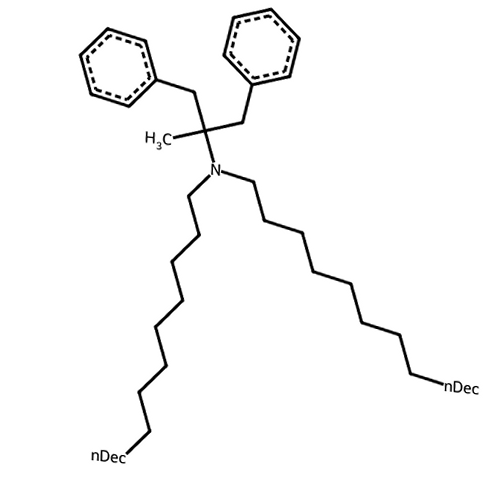 CCCCCCCCCCCCCCCCCCN(CCCCCCCCCCCCCCCCCC)C(C)(Cc1ccccc1)Cc1ccccc1